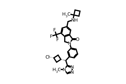 Cn1cnnc1C(c1cccc(N2Cc3c(cc(CNC4(C)CCC4)cc3C(F)(F)F)C2=O)c1)[C@H]1C[C@@H](Cl)C1